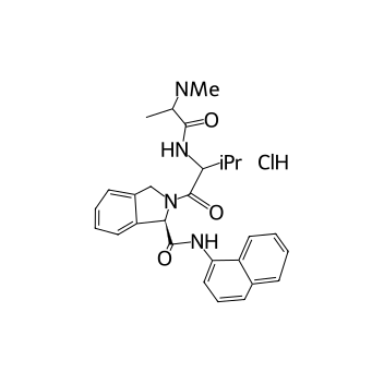 CNC(C)C(=O)NC(C(=O)N1Cc2ccccc2[C@@H]1C(=O)Nc1cccc2ccccc12)C(C)C.Cl